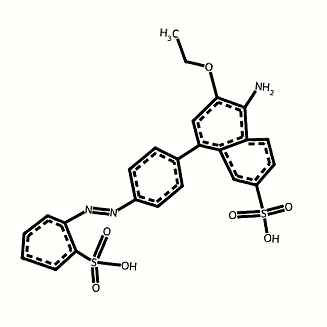 CCOc1cc(-c2ccc(/N=N/c3ccccc3S(=O)(=O)O)cc2)c2cc(S(=O)(=O)O)ccc2c1N